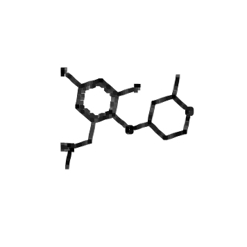 CNCc1cc(F)cc(F)c1OC1CCOC(C)C1